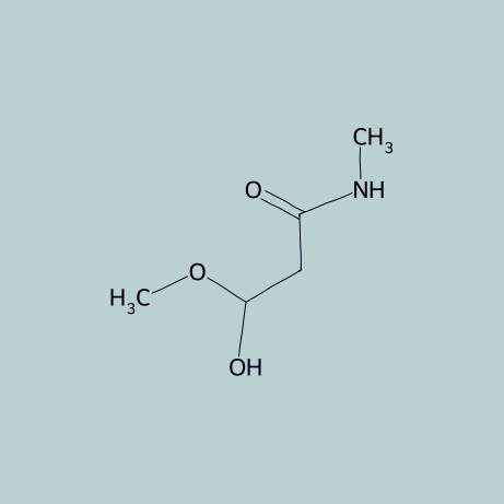 CNC(=O)CC(O)OC